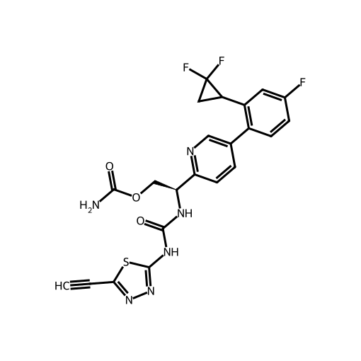 C#Cc1nnc(NC(=O)N[C@@H](COC(N)=O)c2ccc(-c3ccc(F)cc3C3CC3(F)F)cn2)s1